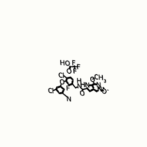 COc1n[n+]([O-])cc2cc(C(=O)NCc3ccc(Cl)c(Oc4cc(Cl)cc(C#N)c4)c3F)[nH]c12.O=C(O)C(F)(F)F